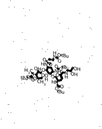 CN(C(=O)OC(C)(C)C)[C@@H]1[C@@H](O)[C@@H](O[C@@H]2[C@@H](O)[C@H](O[C@H]3OC(CNCC(O)CO)=CC[C@H]3NC(=O)OC(C)(C)C)[C@@H](NC(=O)OC(C)(C)C)C[C@H]2NS(=O)(=O)CCNC(=O)OC(C)(C)C)OC[C@]1(C)O